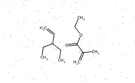 C=C(C)C(=O)OCC.C=CN(CC)CC